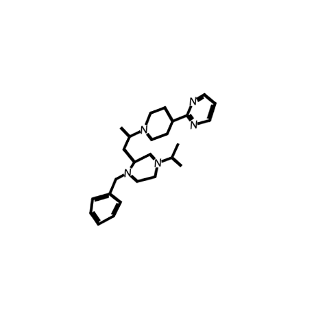 CC(C)N1CCN(Cc2ccccc2)C(CC(C)N2CCC(c3ncccn3)CC2)C1